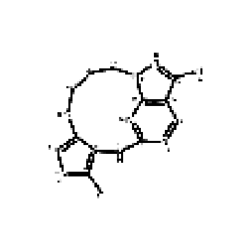 Cc1[nH]nc2c1Nc1ncc3c(Cl)nn(c3n1)CCCO2